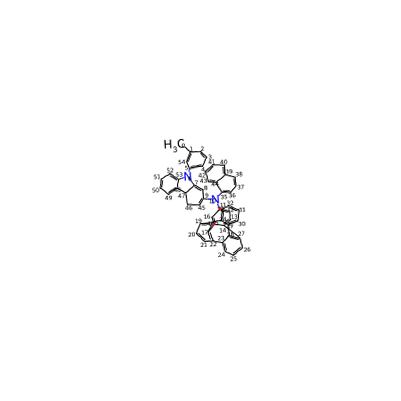 Cc1cccc(N2C3=CC(N(c4ccc5c(c4)-c4c6cccc4-c4cccc-5c4-c4ccccc4-6)c4cccc5ccccc45)=CCC3c3ccccc32)c1